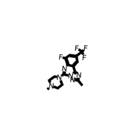 Cc1nc2c3cc(C(F)(F)F)cc(F)c3nc(N3CCN(C)CC3)n2n1